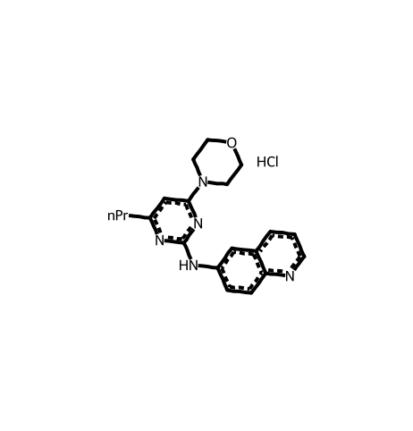 CCCc1cc(N2CCOCC2)nc(Nc2ccc3ncccc3c2)n1.Cl